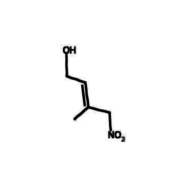 C/C(=C\CO)C[N+](=O)[O-]